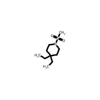 CCC1(CC)CCN(S(C)(=O)=O)CC1